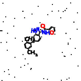 Cc1ccc(C)c(-c2ccc3c(NC(=O)c4ccco4)n[nH]c3c2)c1